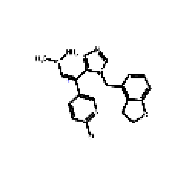 CCc1ccc(/C(=C/N(C)N)c2nncn2Cc2cccc3c2CCO3)cn1